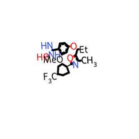 CCC(Oc1ccc(C(=N)NO)c(OC)c1)c1oc([C@H]2CC[C@@H](C(F)(F)F)CC2)nc1C